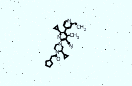 C=Cc1cc(-c2c(C3CC3)nc(N3CCN(C(=O)CC4CCCC4)C(C4CC4)C3)c(C#N)c2C)ccn1